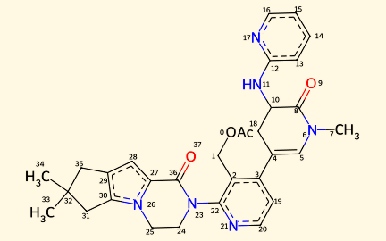 CC(=O)OCc1c(C2=CN(C)C(=O)C(Nc3ccccn3)C2)ccnc1N1CCn2c(cc3c2CC(C)(C)C3)C1=O